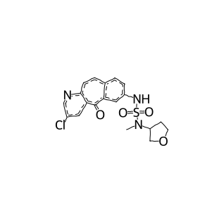 CN(C1CCOC1)S(=O)(=O)Nc1ccc2ccc3ncc(Cl)cc3c(=O)c2c1